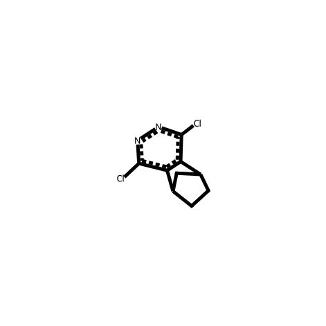 Clc1nnc(Cl)c2c1C1CCC2C1